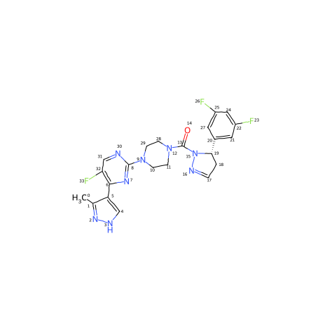 Cc1n[nH]cc1-c1nc(N2CCN(C(=O)N3N=CC[C@H]3c3cc(F)cc(F)c3)CC2)ncc1F